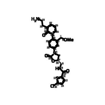 COCc1cc(N2C[C@H](CNC(=O)c3ccc(Cl)s3)OC2=O)ccc1-n1cccc(CCN)c1=O